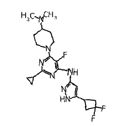 CN(C)C1CCN(c2nc(C3CC3)nc(Nc3cc(C4CC(F)(F)C4)[nH]n3)c2F)CC1